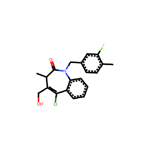 Cc1ccc(CN2C(=O)C(C)C(CO)=C(Cl)c3ccccc32)cc1F